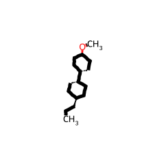 CCC[C@H]1CC[C@H]([C@H]2CC[C@H](OC)CC2)CC1